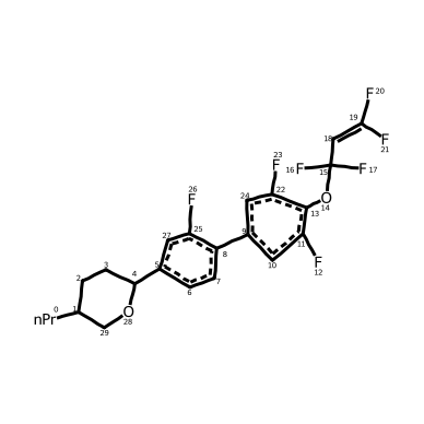 CCCC1CCC(c2ccc(-c3cc(F)c(OC(F)(F)C=C(F)F)c(F)c3)c(F)c2)OC1